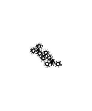 c1ccc(-c2nc(-c3ccccc3)n(-c3ccc(-c4ccccc4-c4ccccc4-c4ccc(N(c5ccccc5)c5ccccc5)cc4)cc3)n2)cc1